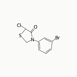 O=C1C(Cl)SCN1c1cccc(Br)c1